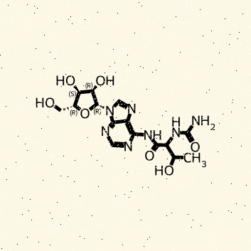 CC(O)C(NC(N)=O)C(=O)Nc1ncnc2c1ncn2[C@@H]1O[C@H](CO)[C@@H](O)[C@H]1O